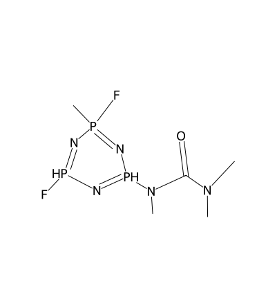 CN(C)C(=O)N(C)[PH]1=N[PH](F)=NP(C)(F)=N1